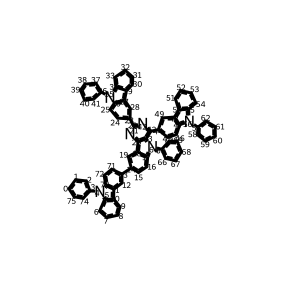 c1ccc(-n2c3ccccc3c3cc(-c4ccc5c(c4)c4nc(-c6ccc7c(c6)c6ccccc6n7-c6ccccc6)nc(-c6ccc7c(c6)c6ccccc6n7-c6ccccc6)c4n5-c4ccccc4)ccc32)cc1